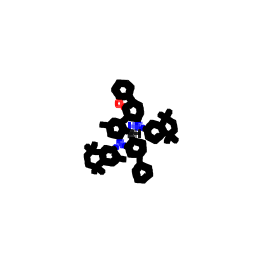 Cc1cc(-c2c(Nc3ccc4c(c3)C(C)(C)CCC4(C)C)ccc3c2oc2ccccc23)c2c(c1)N(c1cc3c(cc1C)C(C)(C)CCC3(C)C)c1cc(-c3ccccc3)ccc1B2